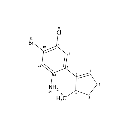 CC1CCC=C1c1cc(Cl)c(Br)cc1N